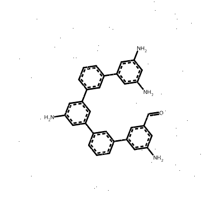 Nc1cc(N)cc(-c2cccc(-c3cc(N)cc(-c4cccc(-c5cc(N)cc(C=O)c5)c4)c3)c2)c1